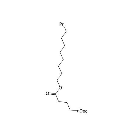 CCCCCCCCCCCCCC(=O)OCCCCCCCCC(C)C